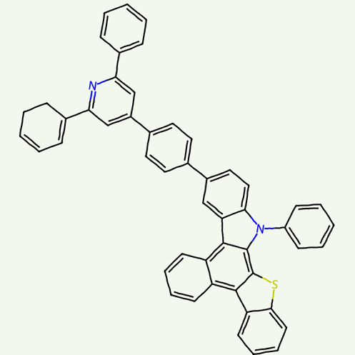 C1=CCCC(c2cc(-c3ccc(-c4ccc5c(c4)c4c6ccccc6c6c7ccccc7sc6c4n5-c4ccccc4)cc3)cc(-c3ccccc3)n2)=C1